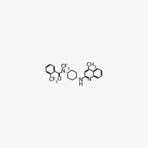 Cc1cc(N[C@H]2CC[C@@H](N(C(=O)c3ccccc3C(F)(F)F)C(F)(F)F)CC2)nc2ccccc12